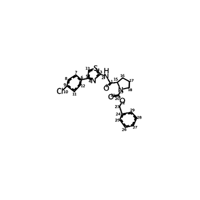 O=C(Nc1nc(-c2ccc(Cl)cc2)cs1)C1CCCN1C(=O)OCc1ccccc1